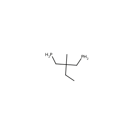 CCC(C)(CP)CP